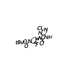 CC(C)(C)OC(=O)N1CC[C@@H](n2c(=O)[nH]c3cnc(Cl)nc32)[C@@H](F)C1